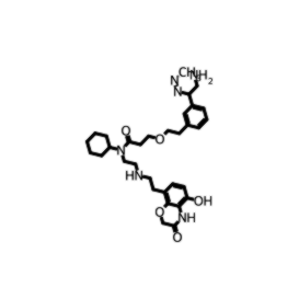 C/N=N\C(CN)c1cccc(CCOCCC(=O)N(CCNCCc2ccc(O)c3c2OCC(=O)N3)C2CCCCC2)c1